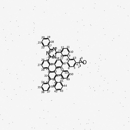 CP(C)(=O)c1cccc(-c2cccc(-c3nc(-c4ccccc4)nc(-c4cccc(-c5cc(-c6ccccc6)c(-c6ccccc6)c(-c6ccccc6)c5-c5ccccc5)c4)n3)c2)c1